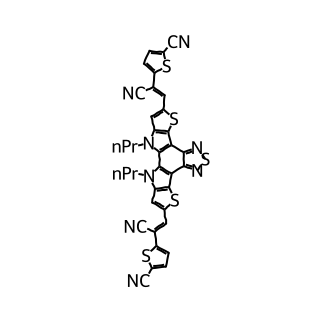 CCCn1c2cc(/C=C(\C#N)c3ccc(C#N)s3)sc2c2c3nsnc3c3c4sc(/C=C(\C#N)c5ccc(C#N)s5)cc4n(CCC)c3c21